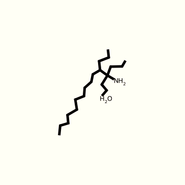 CCCCCCCCCCC(CCC)C(N)(CCC)CCC.O